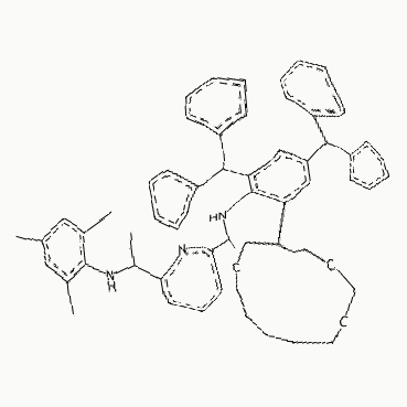 Cc1cc(C)c(NC(C)c2cccc(C(C)Nc3c(C4CCCCCCCCCCC4)cc(C(c4ccccc4)c4ccccc4)cc3C(c3ccccc3)c3ccccc3)n2)c(C)c1